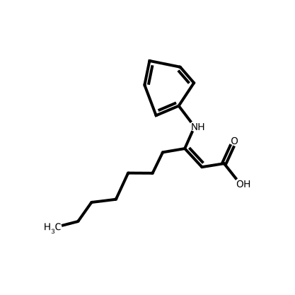 CCCCCCC/C(=C/C(=O)O)Nc1ccccc1